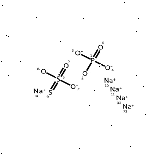 O=P([O-])([O-])[O-].O=S([O-])([O-])=S.[Na+].[Na+].[Na+].[Na+].[Na+]